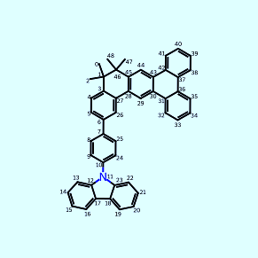 CC1(C)c2ccc(-c3ccc(-n4c5ccccc5c5ccccc54)cc3)cc2-c2cc3c4ccccc4c4ccccc4c3cc2C1(C)C